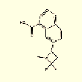 C[C@H]1N(c2ccc3nccc(C(=O)O)c3c2)CC1(F)F